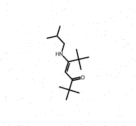 CC(C)CNC(=CC(=O)C(C)(C)C)C(C)(C)C